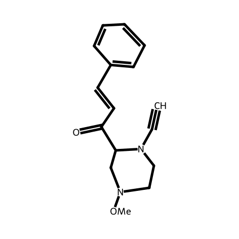 C#CN1CCN(OC)CC1C(=O)C=Cc1ccccc1